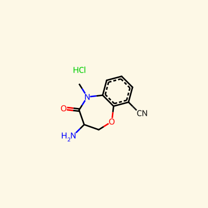 CN1C(=O)C(N)COc2c(C#N)cccc21.Cl